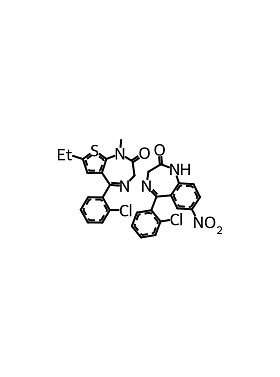 CCc1cc2c(s1)N(C)C(=O)CN=C2c1ccccc1Cl.O=C1CN=C(c2ccccc2Cl)c2cc([N+](=O)[O-])ccc2N1